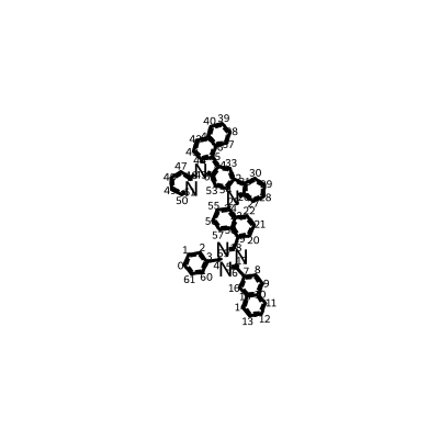 c1ccc(-c2nc(-c3ccc4ccccc4c3)nc(-c3cccc4c(-n5c6ccccc6c6cc7c8c9ccccc9ccc8n(-c8ccccn8)c7cc65)cccc34)n2)cc1